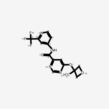 CC1(Oc2cc(C(=O)Nc3ccnc(C(F)(F)F)c3)ncn2)COC1